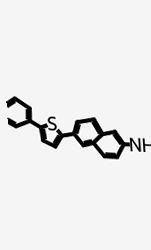 Nc1ccc2cc(-c3ccc(-c4ccccc4)s3)ccc2c1